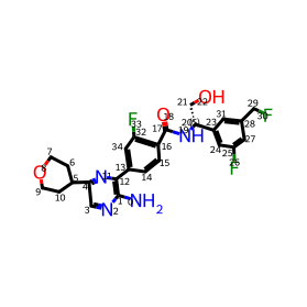 Nc1ncc(C2CCOCC2)nc1-c1ccc(C(=O)N[C@H](CO)c2cc(F)cc(CF)c2)c(F)c1